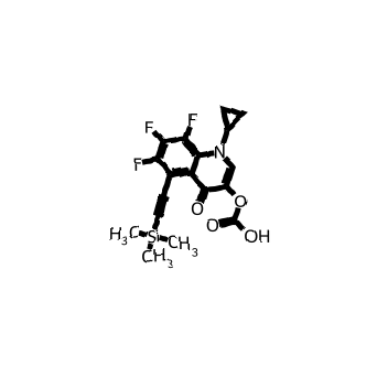 C[Si](C)(C)C#Cc1c(F)c(F)c(F)c2c1c(=O)c(OC(=O)O)cn2C1CC1